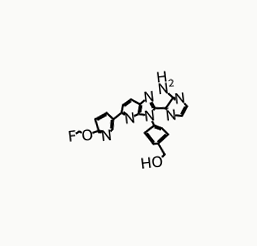 Nc1nccnc1-c1nc2ccc(-c3ccc(OCF)nc3)nc2n1-c1ccc(CO)cc1